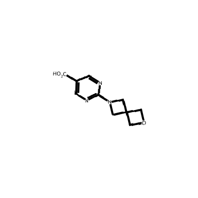 O=C(O)c1cnc(N2CC3(COC3)C2)nc1